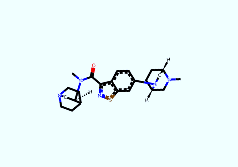 CN1C[C@@H]2CC[C@H]1CN2c1ccc2c(C(=O)N(C)[C@@H]3CN4CCC3CC4)nsc2c1